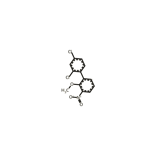 COc1c(-c2ccc(Cl)cc2Cl)[c]ccc1[N+](=O)[O-]